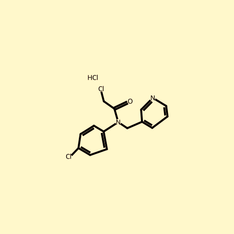 Cl.O=C(CCl)N(Cc1cccnc1)c1ccc(Cl)cc1